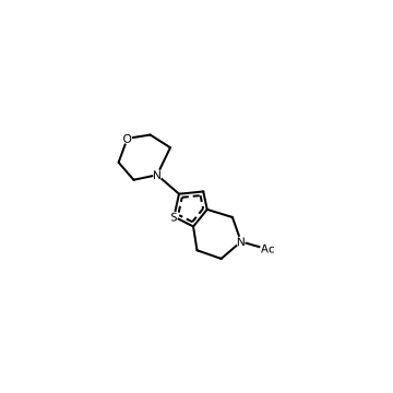 CC(=O)N1CCc2sc(N3CCOCC3)cc2C1